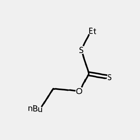 CCCCCOC(=S)SCC